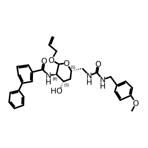 C=CCOC1O[C@H](CNC(=O)NCc2ccc(OC)cc2)C[C@H](O)[C@H]1NC(=O)c1cccc(-c2ccccc2)c1